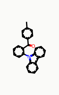 Cc1ccc(C(=O)c2ccccc2-n2c3ccccc3c3ccccc32)cc1